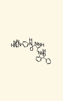 O=C(Nc1ccc(N2CNN=N2)cc1)c1n[nH]cc1CNc1ccccc1C(O)c1ccccc1